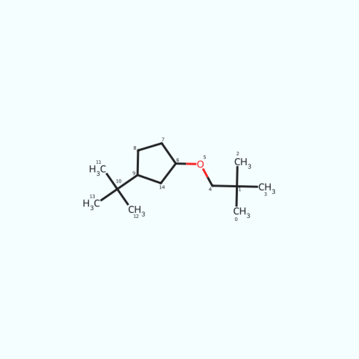 CC(C)(C)COC1CCC(C(C)(C)C)C1